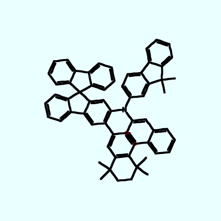 CC1(C)CCC(C)(C)c2cc(-c3cc4c(cc3N(c3ccc5c(c3)C(C)(C)c3ccccc3-5)c3ccc5ccccc5c3)C3(c5ccccc5-c5ccccc53)c3ccccc3-4)ccc21